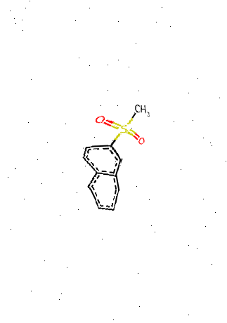 CS(=O)(=O)c1[c]cc2ccccc2c1